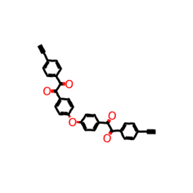 C#Cc1ccc(C(=O)C(=O)c2ccc(Oc3ccc(C(=O)C(=O)c4ccc(C#C)cc4)cc3)cc2)cc1